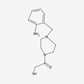 Nc1ccccc1CN1CCN(C(=O)CS)CC1